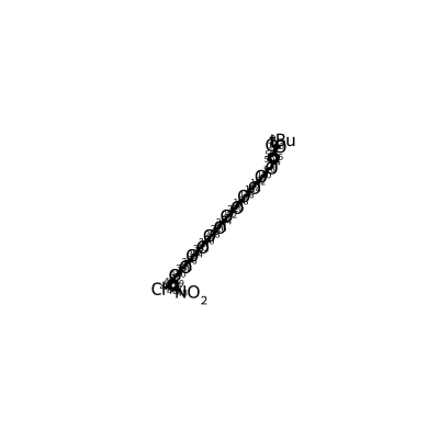 CC(C)(C)OC(=O)c1ccc(OCCOCCOCCOCCOCCOCCOCCOCCOCCOCCOCCOc2cc(Cl)cc([N+](=O)[O-])c2)cc1